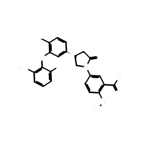 N#Cc1cccc(Cl)c1Oc1cc([C@H]2CC(=O)N(c3ccc(NS)c(C(N)=O)c3)C2)ccc1Cl